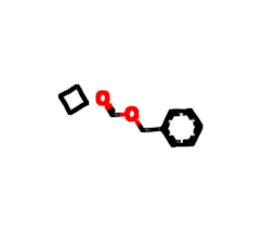 C1CCC1.O=COCc1ccccc1